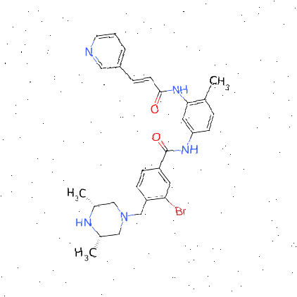 Cc1ccc(NC(=O)c2ccc(CN3C[C@@H](C)N[C@@H](C)C3)c(Br)c2)cc1NC(=O)/C=C/c1cccnc1